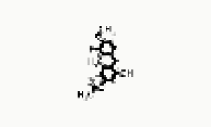 COc1ccc(Cc2c(C)cc(OC(C)=O)cc2O)cc1F